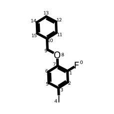 Fc1cc(I)ccc1OCc1ccccc1